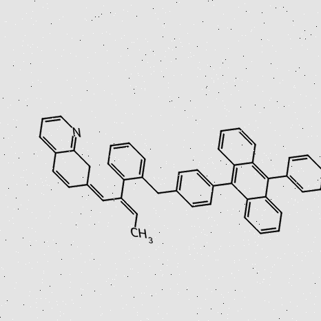 C/C=C(\C=C1\C=Cc2cccnc2C1)c1ccccc1Cc1ccc(-c2c3ccccc3c(C3=CCCC=C3)c3ccccc23)cc1